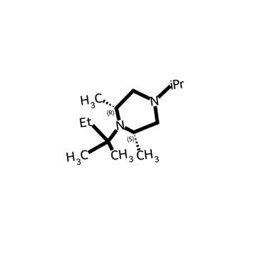 CCC(C)(C)N1[C@H](C)CN(C(C)C)C[C@@H]1C